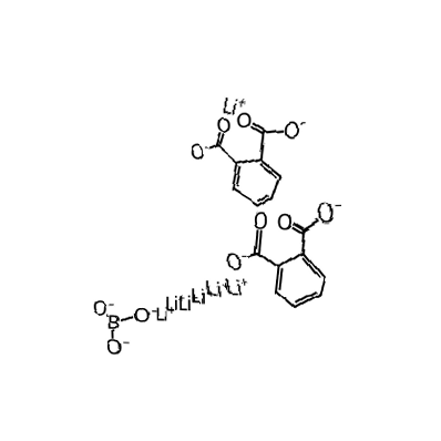 O=C([O-])c1ccccc1C(=O)[O-].O=C([O-])c1ccccc1C(=O)[O-].[Li+].[Li+].[Li+].[Li+].[Li+].[Li+].[Li+].[O-]B([O-])[O-]